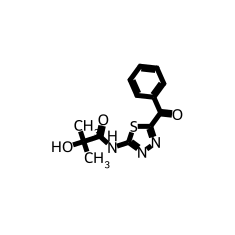 CC(C)(O)C(=O)Nc1nnc(C(=O)c2ccccc2)s1